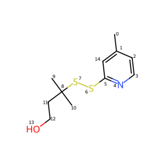 Cc1ccnc(SSC(C)(C)CCO)c1